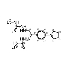 CCNC(=S)NNCC(NNC(=S)NCC)c1ccc(N2CCCC2)cc1